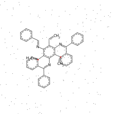 C=Cc1c(N=Cc2ccccc2)c(C=C)c(N=C(c2ccccc2)c2ccccc2)c(C=C)c1N=C(c1ccccc1)c1ccccc1